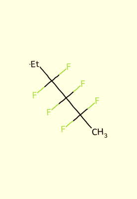 C[CH]C(F)(F)C(F)(F)C(C)(F)F